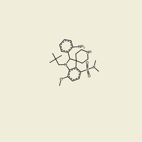 COc1ccc(S(=O)(=O)N(C)C)c2c1N(CC(C)(C)C)C(c1ccccc1N)C21CCNCC1